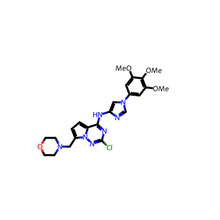 COc1cc(-n2cnc(Nc3nc(Cl)nn4c(CN5CCOCC5)ccc34)c2)cc(OC)c1OC